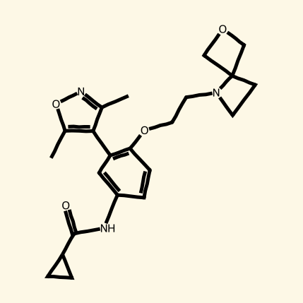 Cc1noc(C)c1-c1cc(NC(=O)C2CC2)ccc1OCCN1CCC12COC2